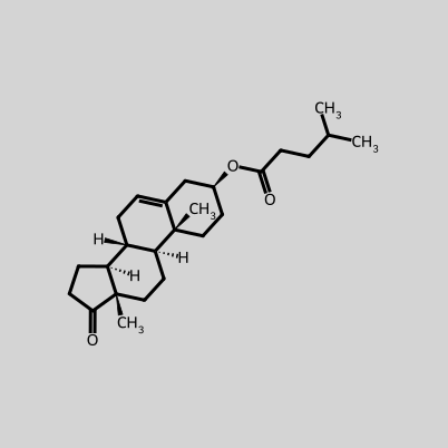 CC(C)CCC(=O)O[C@H]1CC[C@@]2(C)C(=CC[C@@H]3[C@@H]2CC[C@]2(C)C(=O)CC[C@@H]32)C1